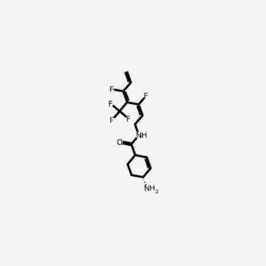 C=C/C(F)=C(\C(F)=C/CNC(=O)C1C=C[C@H](N)CC1)C(F)(F)F